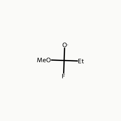 CCC([O])(F)OC